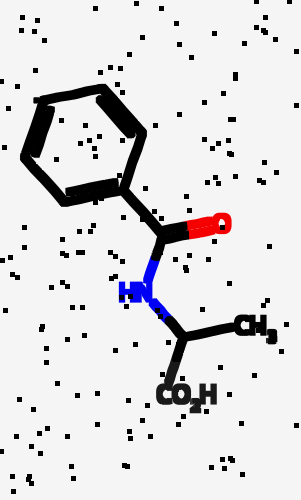 CC(NC(=O)c1cc[c]cc1)C(=O)O